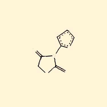 O=C1CSC(=S)N1c1cccs1